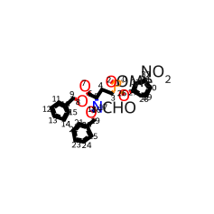 COP(=O)(CCC(C(=O)OCc1ccccc1)N(C=O)OCc1ccccc1)Oc1cccc([N+](=O)[O-])c1